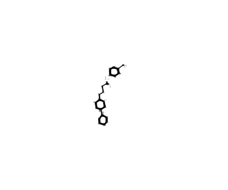 O=C(CCCc1ccc(-c2ccccc2)cc1)Nc1ccc(CO)cc1